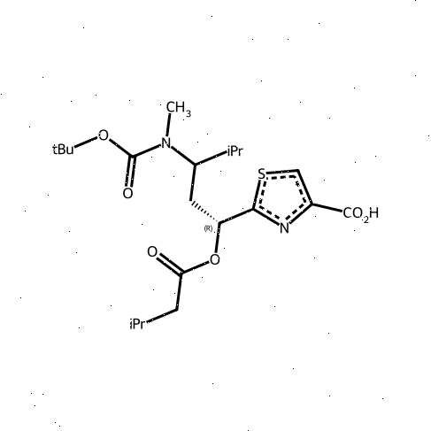 CC(C)CC(=O)O[C@H](CC(C(C)C)N(C)C(=O)OC(C)(C)C)c1nc(C(=O)O)cs1